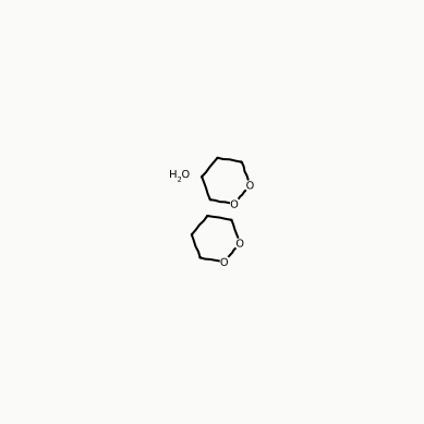 C1CCOOC1.C1CCOOC1.O